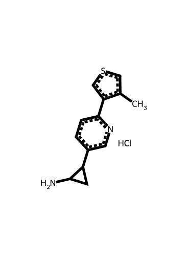 Cc1cscc1-c1ccc(C2CC2N)cn1.Cl